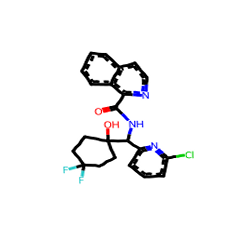 O=C(NC(c1cccc(Cl)n1)C1(O)CCC(F)(F)CC1)c1nccc2ccccc12